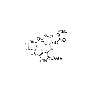 COc1ncc(Nc2cc(OC3CCN(OC(=O)OC(C)(C)C)CC3)ncn2)cc1C